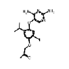 CC(=O)COc1cc(C(C)C)c(Oc2cnc(N)nc2N)cc1I